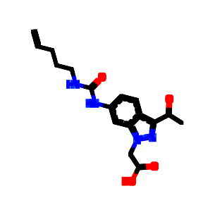 C=CCCCNC(=O)Nc1ccc2c(C(C)=O)nn(CC(=O)O)c2c1